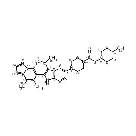 Cc1c(-c2[nH]c3ccc(N4CCN(C(=O)CN5CCC(O)CC5)CC4)nc3c2C(C)C)cn2ncnc2c1C